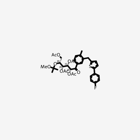 COC(C)(C)O[C@H](COC(C)=O)[C@@H](OC(C)=O)[C@H](OC(C)=O)[C@@H](OC(C)=O)C(=O)c1ccc(C)c(Cc2ccc(-c3ccc(F)cc3)s2)c1